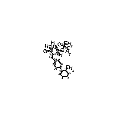 Cc1ccccc1-c1ccc(CC(NC(=O)OC(C)(C)C)C(=O)O)nc1